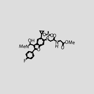 CNC(O)c1c(-c2ccc(F)cc2)oc2cc(N(CC(=O)NCC(=O)OC)S(C)(=O)=O)c(C3CC3)cc12